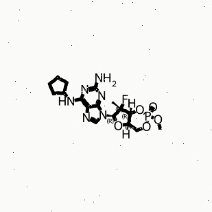 COP1(=O)OC[C@H]2O[C@@H](n3cnc4c(NC5CCCC5)nc(N)nc43)[C@](C)(F)[C@@H]2O1